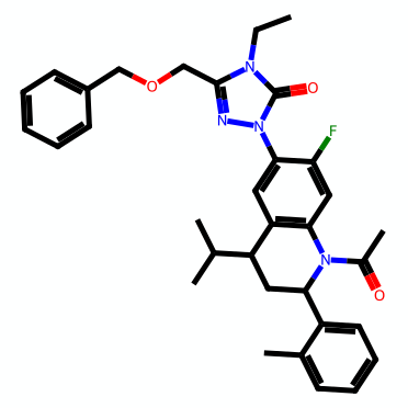 CCn1c(COCc2ccccc2)nn(-c2cc3c(cc2F)N(C(C)=O)C(c2ccccc2C)CC3C(C)C)c1=O